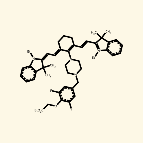 CCOC(=O)COc1c(F)cc(CN2CCN(C3=C(/C=C/C4=[N+](CC)c5ccccc5C4(C)C)CCC/C3=C\C=C3\N(CC)c4ccccc4C3(C)C)CC2)cc1F